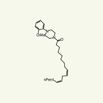 CCCCC/C=C\C/C=C\CCCCCCCC(=O)N1CCN(c2ccccc2OC)CC1